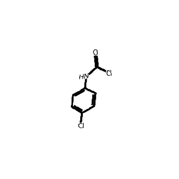 O=C(Cl)Nc1ccc(Cl)cc1